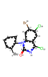 CCC(C)c1ccccc1-n1c(=O)nc(Cl)c2cc(Cl)c(Br)cc21